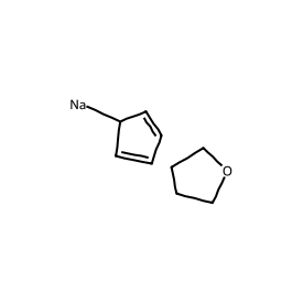 C1CCOC1.[Na][CH]1C=CC=C1